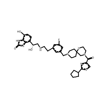 O=C(c1csc(C2CCCC2)n1)N1CCOC2(CCN(Cc3cc(F)cc(CCNC[C@H](O)c4ccc(O)c5[nH]c(=O)sc45)c3)CC2)C1